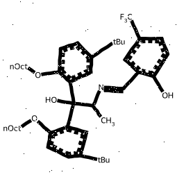 CCCCCCCCOc1ccc(C(C)(C)C)cc1C(O)(c1cc(C(C)(C)C)ccc1OCCCCCCCC)C(C)N=Cc1cc(C(F)(F)F)ccc1O